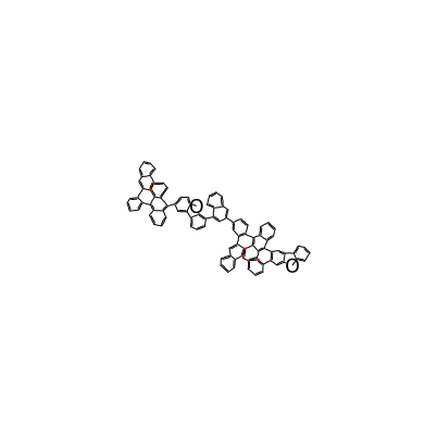 c1ccc(-c2cc3oc4ccccc4c3cc2-c2c3ccccc3c(-c3ccc(-c4cc(-c5cccc6c5oc5ccc(-c7c8ccccc8c(-c8ccccc8-c8ccc9ccccc9c8)c8ccccc78)cc56)c5ccccc5c4)cc3-c3ccc4ccccc4c3)c3ccccc23)cc1